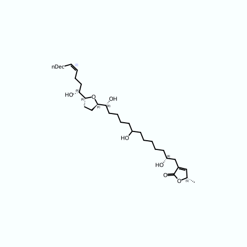 CCCCCCCCCC/C=C\CC[C@@H](O)[C@H]1CC[C@H]([C@H](O)CCCCC(O)CCCCC[C@@H](O)CC2=C[C@H](C)OC2=O)O1